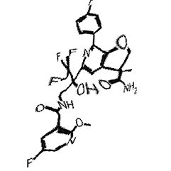 COc1ncc(F)cc1C(=O)NCC(O)(c1cc2c(c(-c3ccc(F)cc3)n1)OC[C@]2(C)C(N)=O)C(F)(F)F